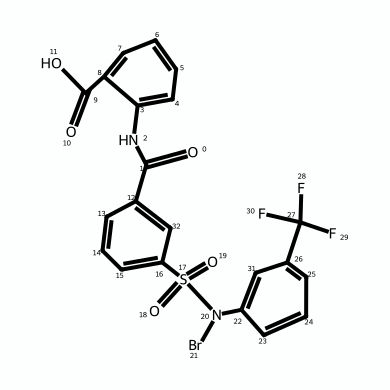 O=C(Nc1ccccc1C(=O)O)c1cccc(S(=O)(=O)N(Br)c2cccc(C(F)(F)F)c2)c1